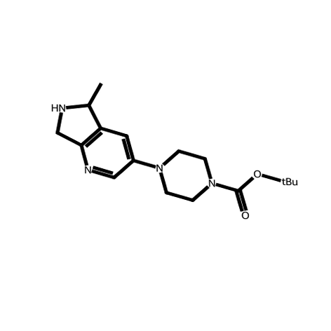 CC1NCc2ncc(N3CCN(C(=O)OC(C)(C)C)CC3)cc21